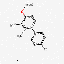 CCCCCOc1ccc(-c2ccc(CC)cc2)c(C)c1C